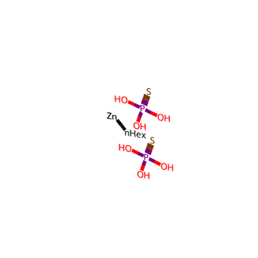 CCCCC[CH2][Zn].OP(O)(O)=S.OP(O)(O)=S